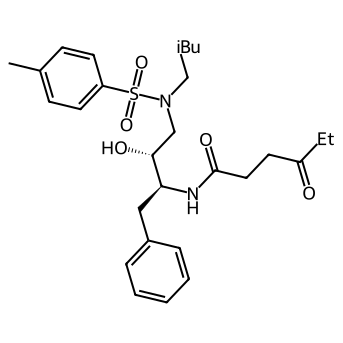 CCC(=O)CCC(=O)N[C@@H](Cc1ccccc1)[C@H](O)CN(CC(C)CC)S(=O)(=O)c1ccc(C)cc1